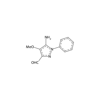 COc1c(C=O)nn(-c2ccccc2)c1N